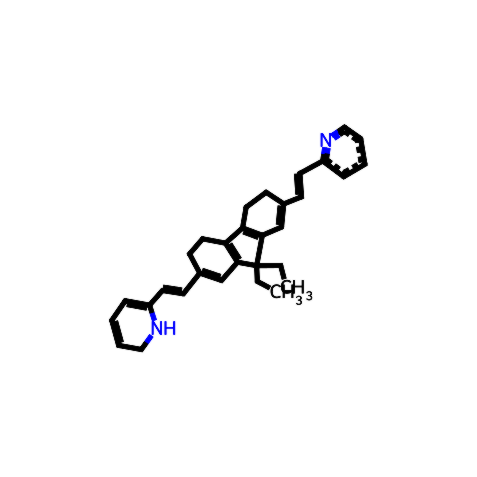 CCC1(CC)C2=C(CCC(/C=C/C3=CC=CCN3)=C2)C2=C1C=C(/C=C/c1ccccn1)CC2